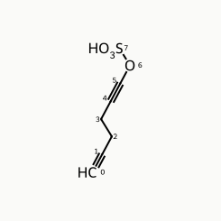 C#CCCC#COS(=O)(=O)O